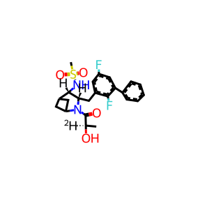 [2H][C@](C)(O)C(=O)N1C2CC(C2)[C@H](NS(C)(=O)=O)[C@@H]1Cc1cc(F)cc(-c2ccccc2)c1F